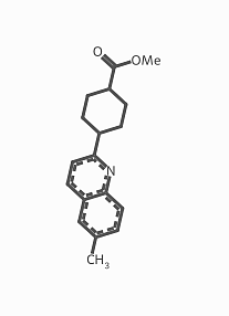 COC(=O)C1CCC(c2ccc3cc(C)ccc3n2)CC1